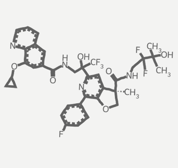 CC(C)(O)C(F)(F)CNC(=O)[C@@]1(C)COc2c1cc(C(O)(CNC(=O)c1cc(OC3CC3)c3ncccc3c1)C(F)(F)F)nc2-c1ccc(F)cc1